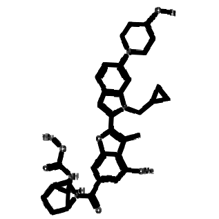 CCOC1CCN(c2ccc3cc(-c4oc5cc(C(=O)N6CC7CCC6[C@@H]7NC(=O)OC(C)(C)C)cc(OC)c5c4C)n(CC4CC4)c3c2)CC1